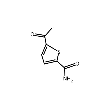 [CH2]C(=O)c1ccc(C(N)=O)s1